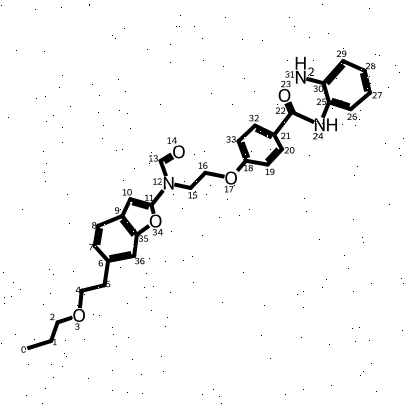 CCCOCCc1ccc2cc(N(C=O)CCOc3ccc(C(=O)Nc4ccccc4N)cc3)oc2c1